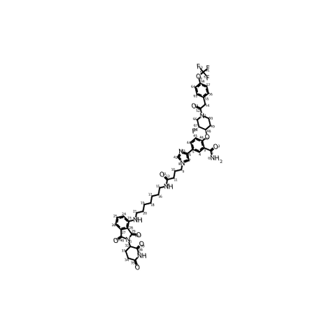 NC(=O)c1cc(-c2cn(CCCC(=O)NCCCCCCCNc3cccc4c3C(=O)N(C3CCC(=O)NC3=O)C4=O)cn2)ccc1O[C@@H]1CCN(C(=O)Cc2ccc(OC(F)(F)F)cc2)C[C@H]1F